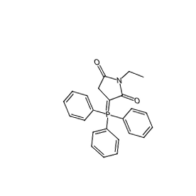 CCN1C(=O)CC(=P(c2ccccc2)(c2ccccc2)c2ccccc2)C1=O